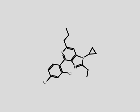 CCCc1cc2c(nc(CC)n2C2CC2)c(-c2ccc(Cl)cc2Cl)n1